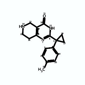 Cc1ccc(C2(c3nc4c(c(=O)[nH]3)CNCC4)CC2)cc1